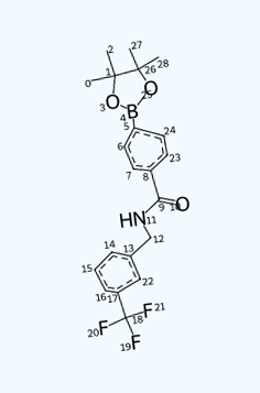 CC1(C)OB(c2ccc(C(=O)NCc3cccc(C(F)(F)F)c3)cc2)OC1(C)C